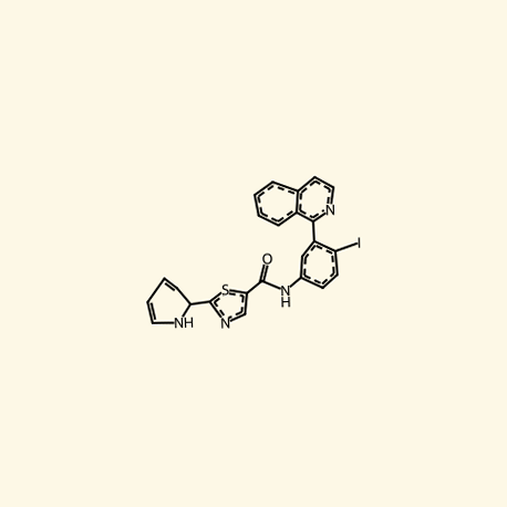 O=C(Nc1ccc(I)c(-c2nccc3ccccc23)c1)c1cnc(C2C=CC=CN2)s1